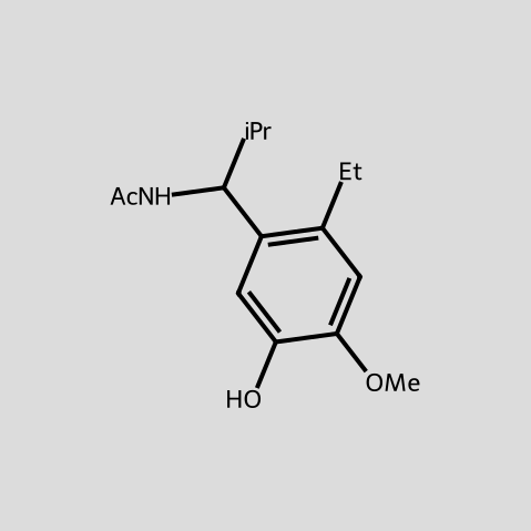 CCc1cc(OC)c(O)cc1C(NC(C)=O)C(C)C